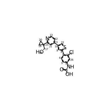 O=C(O)Nc1ccc(-c2cc(-c3ccnc(C4(CO)CC4)c3)cs2)c(Cl)c1